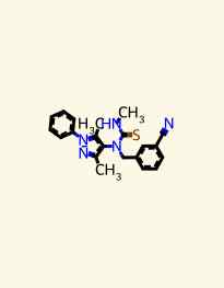 CNC(=S)N(Cc1cccc(C#N)c1)c1c(C)nn(-c2ccccc2)c1C